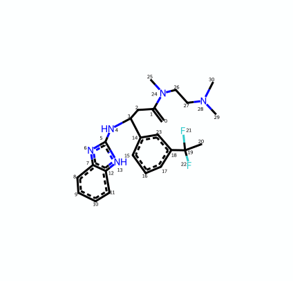 C=C(CC(Nc1nc2ccccc2[nH]1)c1cccc(C(C)(F)F)c1)N(C)CCN(C)C